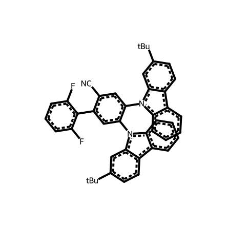 CC(C)(C)c1ccc2c3ccccc3n(-c3cc(C#N)c(-c4c(F)cccc4F)cc3-n3c4ccccc4c4ccc(C(C)(C)C)cc43)c2c1